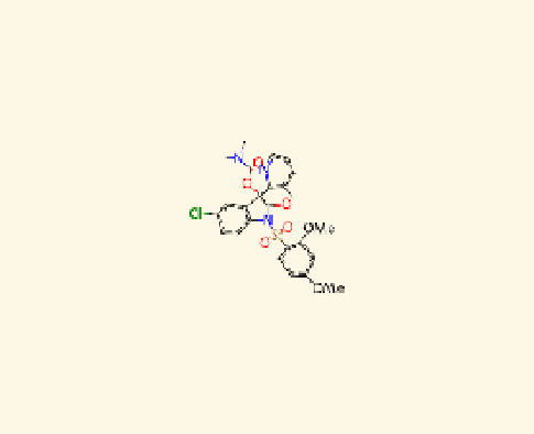 COc1ccc(S(=O)(=O)N2C(=O)C(OC(=O)N(C)C)(c3ncccc3C)c3cc(Cl)ccc32)c(OC)c1